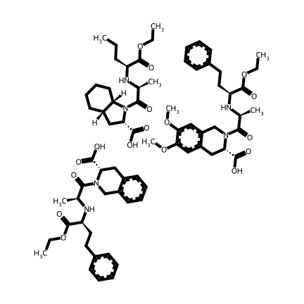 CCC[C@H](N[C@@H](C)C(=O)N1[C@H](C(=O)O)C[C@@H]2CCCC[C@@H]21)C(=O)OCC.CCOC(=O)[C@H](CCc1ccccc1)N[C@@H](C)C(=O)N1Cc2cc(OC)c(OC)cc2C[C@H]1C(=O)O.CCOC(=O)[C@H](CCc1ccccc1)N[C@@H](C)C(=O)N1Cc2ccccc2C[C@H]1C(=O)O